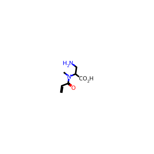 C=CC(=O)N(C)C(CN)C(=O)O